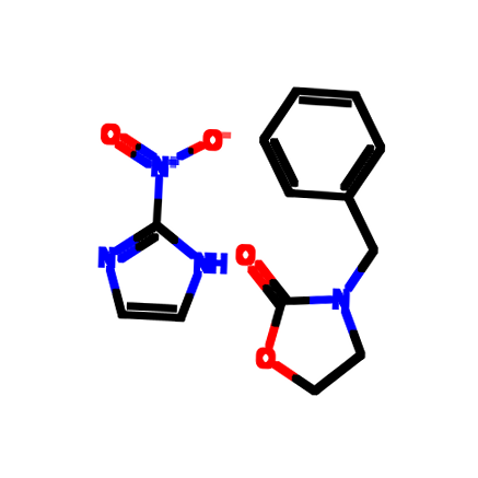 O=C1OCCN1Cc1ccccc1.O=[N+]([O-])c1ncc[nH]1